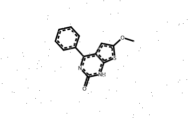 COc1cc2c(-c3ccccc3)nc(=O)[nH]c2s1